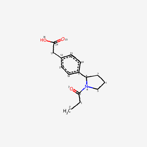 CCC(=O)N1CCCC1c1ccc(CC(=O)O)cc1